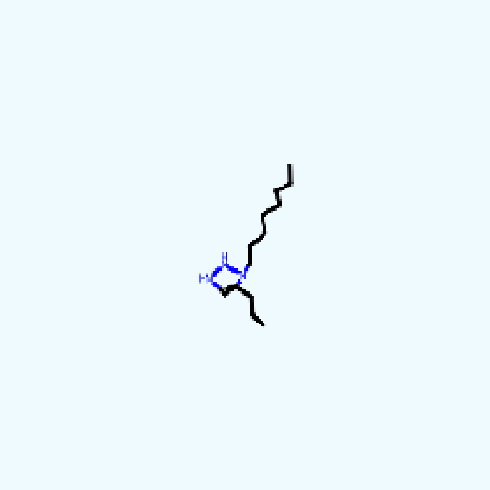 CCCCCCCCN1NNC=C1CCC